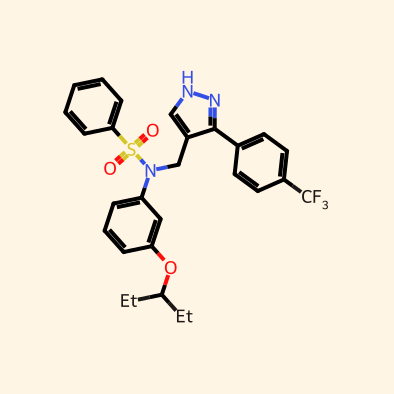 CCC(CC)Oc1cccc(N(Cc2c[nH]nc2-c2ccc(C(F)(F)F)cc2)S(=O)(=O)c2ccccc2)c1